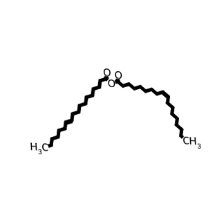 CCCCCC/C=C/CCCCCCCCCC(=O)OC(=O)CCCCCCC/C=C\CCCCCCCC